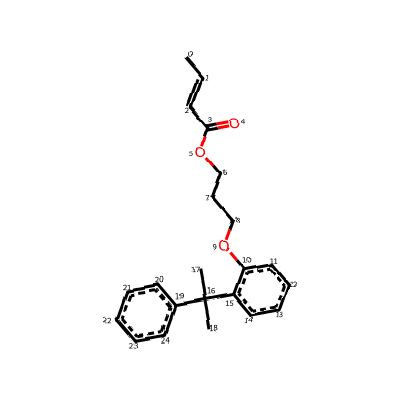 CC=CC(=O)OCCCOc1ccccc1C(C)(C)c1ccccc1